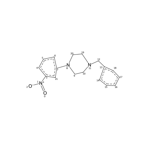 O=[N+]([O-])c1cccc(N2CCN(Cc3ccccc3)CC2)c1